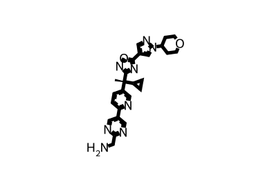 C[C@@](c1ccc(-c2cnc(CN)nc2)nc1)(c1noc(-c2cnn(C3CCOCC3)c2)n1)C1CC1